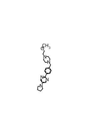 COCCN1CCN(Cc2ccc(-c3ncc(N4CCCC4)cn3)cc2)CC1